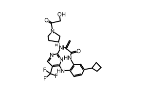 C=CC(=O)Nc1cc(C2CCC2)ccc1Nc1nc(N[C@@H]2CCN(C(=O)CO)C2)ncc1C(F)(F)F